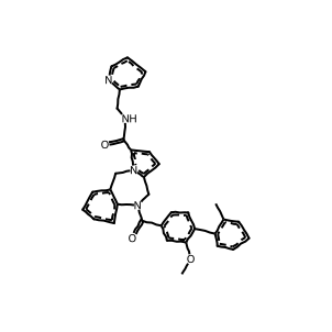 COc1cc(C(=O)N2Cc3ccc(C(=O)NCc4ccccn4)n3Cc3ccccc32)ccc1-c1ccccc1C